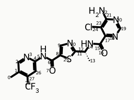 Cc1cnc(NC(=O)c2cnc([C@@H](C)NC(=O)c3ncnc(N)c3Cl)s2)cc1C(F)(F)F